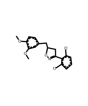 COc1ccc(CC2CC(c3c(Cl)cccc3Cl)=NO2)cc1OC